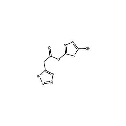 O=C(Cc1nnn[nH]1)Oc1nnc(S)s1